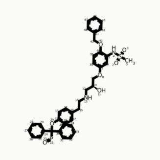 CS(=O)(=O)Nc1cc(OC[C@@H](O)CNCCc2ccc(OC(P=O)(c3ccccc3)c3ccccc3)cc2)ccc1OCc1ccccc1